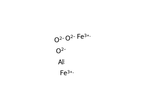 [Al].[Fe+3].[Fe+3].[O-2].[O-2].[O-2]